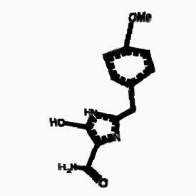 COc1ccc(Cc2nc(C(N)=O)c(O)[nH]2)cc1